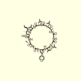 C/C=C/C[C@@H](C)[C@@H](O)[C@H]1C(=O)N[C@@H](CC)C(=O)N(C)CC(=O)N(C)[C@@H]([C@@H](C)CN2CCOCC2)C(=O)NC(C(C)C)C(=O)N(C)[C@@H](CC(C)C)C(=O)N[C@@H](C)C(=O)N[C@H](C)C(=O)N(C)[C@@H](CC(C)C)C(=O)N(C)[C@@H](CC(C)C)C(=O)N(C)C(C(C)C)C(=O)N1C